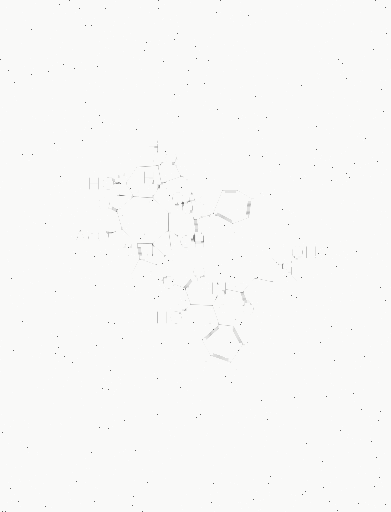 CC(=O)O[C@H]1C(=O)[C@@]2(C)[C@H]([C@H](OC(=O)c3ccccc3)[C@]3(O)C[C@H](OC(=O)[C@H](O)[C@@H](NC(=O)CC[Si](C)(C)O)c4ccccc4)C(C)=C1C3(C)C)[C@]1(OC(C)=O)CO[C@@H]1C[C@@H]2O